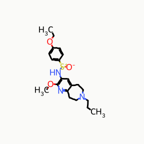 CCCN1CCc2cc(N[S+]([O-])c3ccc(OCC)cc3)c(OC)nc2CC1